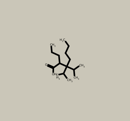 CCCCC(C(C)C)(C(C)C)C(CCC)C(=O)O